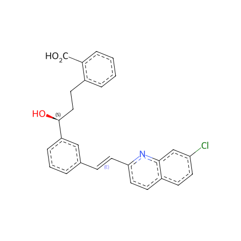 O=C(O)c1ccccc1CC[C@H](O)c1cccc(/C=C/c2ccc3ccc(Cl)cc3n2)c1